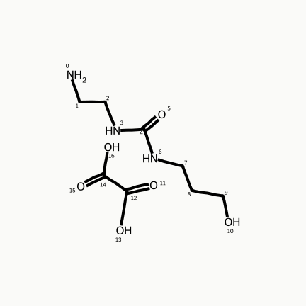 NCCNC(=O)NCCCO.O=C(O)C(=O)O